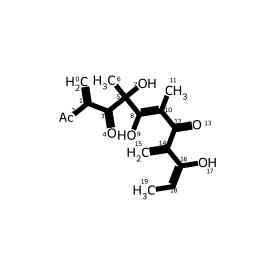 C=C(C(C)=O)C(=O)C(C)(O)/C(O)=C(\C)C(=O)C(=C)/C(O)=C\C